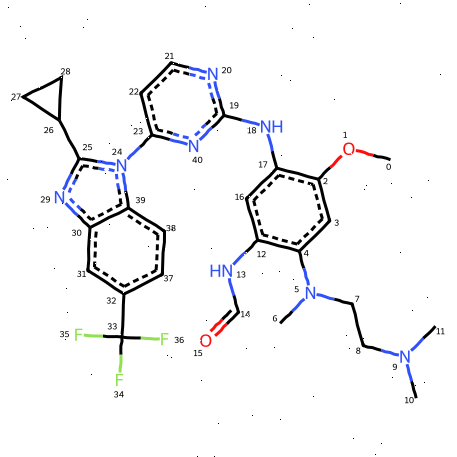 COc1cc(N(C)CCN(C)C)c(NC=O)cc1Nc1nccc(-n2c(C3CC3)nc3cc(C(F)(F)F)ccc32)n1